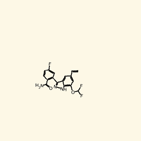 C=Cc1cc(OC(F)F)c2[nH]nc(-c3cc(F)ccc3C(N)=O)c2c1